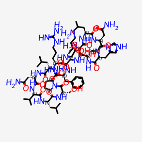 CC(C)C[C@H](NC(=O)[C@H](Cc1c[nH]cn1)NC(=O)[C@H](CC(N)=O)NC(=O)[C@H](CC(C)C)NC(=O)[C@@H](N)[C@@H](C)O)C(=O)N[C@@H](CCCCN)C(=O)N[C@@H](Cc1ccccc1)C(=O)N[C@@H](CC(C)C)C(=O)N[C@@H](CC(N)=O)C(=O)N[C@H](C(=O)N[C@@H](CC(C)C)C(=O)N[C@@H](CO)C(=O)N1CCC[C@H]1C(=O)N[C@@H](CCCNC(=N)N)C(=O)NCC(=O)O)C(C)C